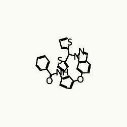 O=C(Nc1cccc(Oc2ccc3cnn(C(c4cccs4)c4cccs4)c3c2)c1)c1ccccc1